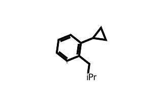 CC(C)Cc1[c]cccc1C1CC1